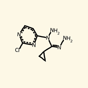 N/N=C(/C1CC1)N(N)c1ccnc(Cl)n1